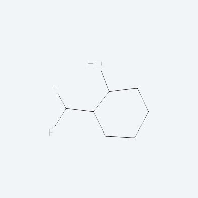 OC1CCCCC1C(F)F